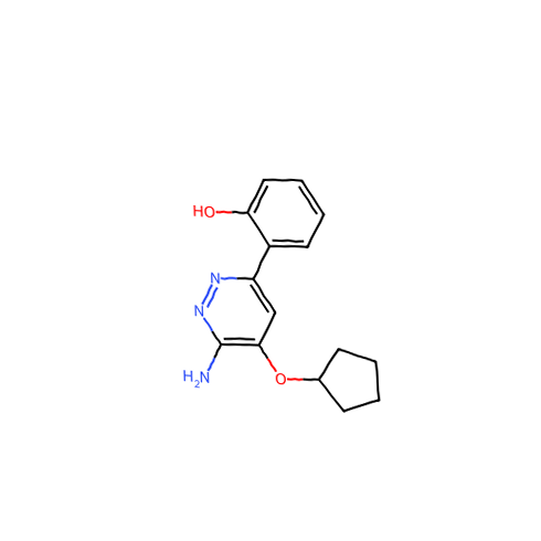 Nc1nnc(-c2ccccc2O)cc1OC1CCCC1